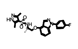 Cc1n[nH]c(C)c1S(=O)(=O)N[C@@H](C)COc1cccc2c1cnn2-c1ccc(F)cc1